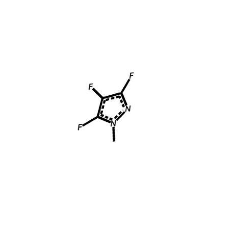 Cn1nc(F)c(F)c1F